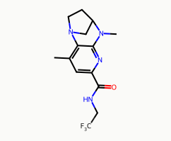 Cc1cc(C(=O)NCC(F)(F)F)nc2c1N1CCC(C1)N2C